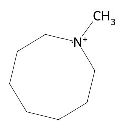 C[N+]1CCCCCCC1